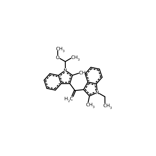 C=C(c1c(C)n(CC)c2ccccc12)c1c(C)n(C(C)OC)c2ccccc12